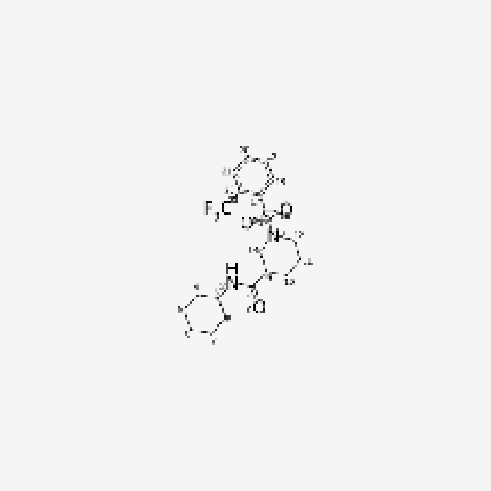 O=C(NC1CCCCC1)C1CCCN(S(=O)(=O)c2ccccc2C(F)(F)F)C1